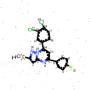 O=C(O)c1cc2nc(-c3ccc(F)cc3)cc(-c3ccc(Cl)c(Cl)c3)n2n1